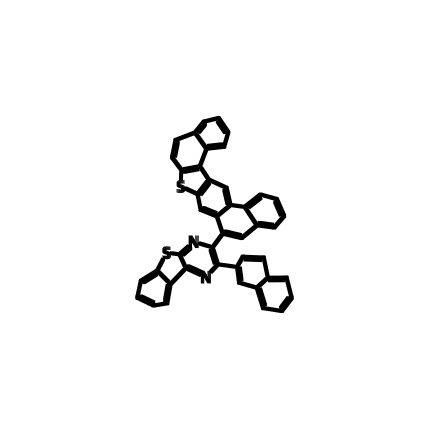 c1ccc2cc(-c3nc4c(nc3-c3cc5ccccc5c5cc6c(cc35)sc3ccc5ccccc5c36)sc3ccccc34)ccc2c1